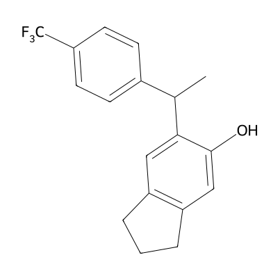 CC(c1ccc(C(F)(F)F)cc1)c1cc2c(cc1O)CCC2